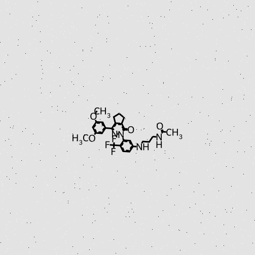 COc1cc(OC)cc(-c2nn(-c3cc(NCCCNC(C)=O)ccc3C(F)(F)F)c(=O)c3c2CCC3)c1